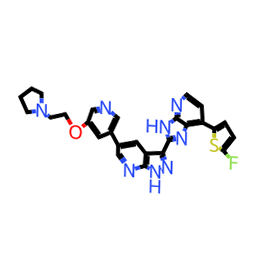 Fc1ccc(-c2ccnc3[nH]c(-c4n[nH]c5ncc(-c6cncc(OCCN7CCCC7)c6)cc45)nc23)s1